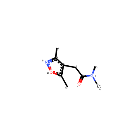 CCN(C)C(=O)Cc1c(C)noc1C